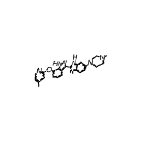 Cc1ccnc(Oc2cccc3c(-c4nc5ccc(N6CCN(C)CC6)cc5[nH]4)n[nH]c23)c1